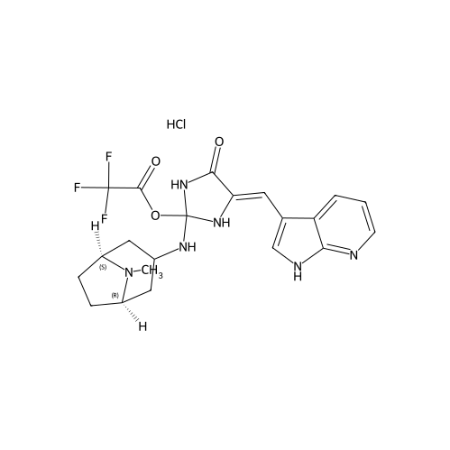 CN1[C@@H]2CC[C@H]1CC(NC1(OC(=O)C(F)(F)F)NC(=O)C(=Cc3c[nH]c4ncccc34)N1)C2.Cl